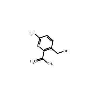 C=C(C)c1nc(C(F)(F)F)ccc1CO